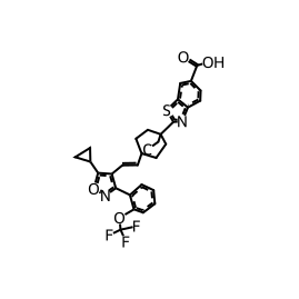 O=C(O)c1ccc2nc(C34CCC(/C=C/c5c(-c6ccccc6OC(F)(F)F)noc5C5CC5)(CC3)CC4)sc2c1